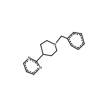 [c]1ccnc(C2CCN(Cc3ccccc3)CC2)n1